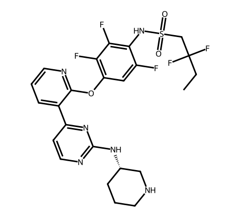 CCC(F)(F)CS(=O)(=O)Nc1c(F)cc(Oc2ncccc2-c2ccnc(N[C@H]3CCCNC3)n2)c(F)c1F